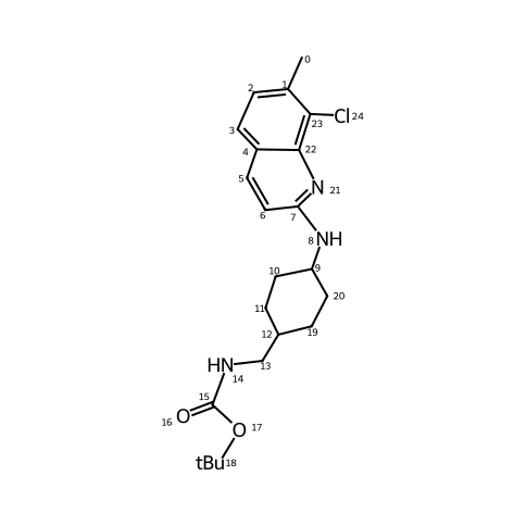 Cc1ccc2ccc(NC3CCC(CNC(=O)OC(C)(C)C)CC3)nc2c1Cl